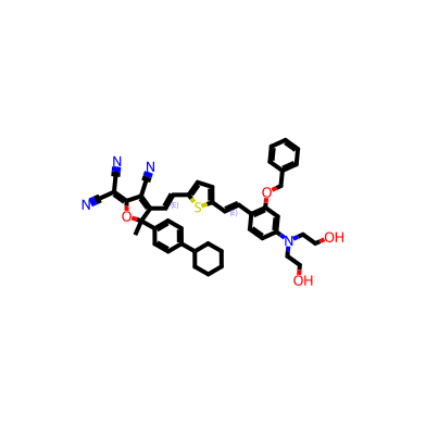 CC1(c2ccc(C3CCCCC3)cc2)OC(=C(C#N)C#N)C(C#N)=C1/C=C/c1ccc(/C=C/c2ccc(N(CCO)CCO)cc2OCc2ccccc2)s1